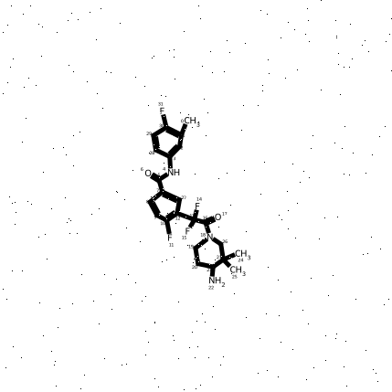 Cc1cc(NC(=O)c2ccc(F)c(C(F)(F)C(=O)N3CCC(N)C(C)(C)C3)c2)ccc1F